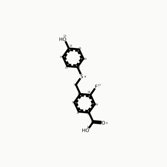 O=C(O)c1ccc(CSc2ccc(O)cc2)c(F)c1